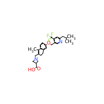 CC1=C(CN2CC(C(=O)O)C2)CCc2cc(OCc3cnc(CC(C)C)cc3C(F)(F)F)ccc21